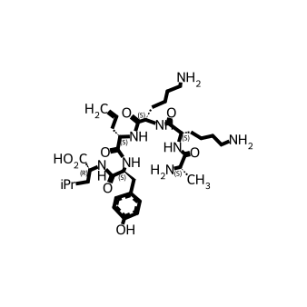 C=CC[C@H](NC(=O)[C@H](CCCCN)NC(=O)[C@H](CCCCN)NC(=O)[C@H](C)N)C(=O)N[C@@H](Cc1ccc(O)cc1)C(=O)N[C@H](CC(C)C)C(=O)O